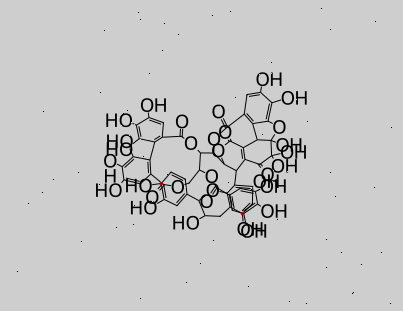 O=C1OC2C(c3c(O)cc(O)c4c3OC(c3ccc(O)c(O)c3)C(O)C4)C3=C1C1c4c(cc(O)c(O)c4OC1(O)C(O)(O)C3=O)C(=O)OC2C1OC(=O)c2cc(O)c(O)c(O)c2-c2c(cc(O)c(O)c2O)C(=O)OCC1OC(=O)c1cc(O)c(O)c(O)c1